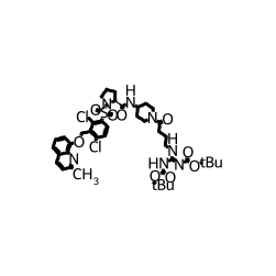 Cc1ccc2cccc(OCc3c(Cl)ccc(S(=O)(=O)N4CCC[C@H]4C(=O)NC4CCN(C(=O)CCCN/C(=N\C(=O)OC(C)(C)C)NC(=O)OC(C)(C)C)CC4)c3Cl)c2n1